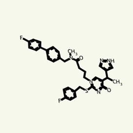 CC(c1cn[nH]c1)c1cn(CCCC(=O)N(C)Cc2ccc(-c3ccc(F)cc3)cc2)c(SCc2ccc(F)cc2)nc1=O